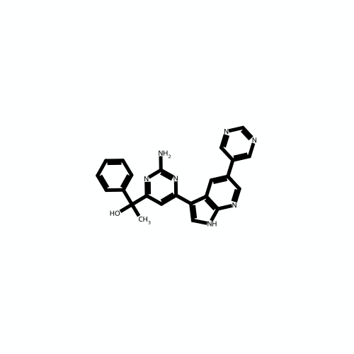 CC(O)(c1ccccc1)c1cc(-c2c[nH]c3ncc(-c4cncnc4)cc23)nc(N)n1